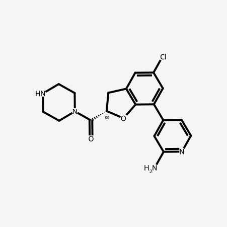 Nc1cc(-c2cc(Cl)cc3c2O[C@H](C(=O)N2CCNCC2)C3)ccn1